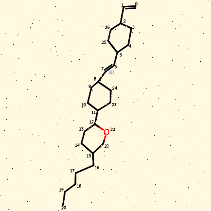 C=CC1CCC(/C=C/C2CCC(C3CCC(CCCCC)CO3)CC2)CC1